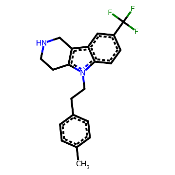 Cc1ccc(CCn2c3c(c4cc(C(F)(F)F)ccc42)CNCC3)cc1